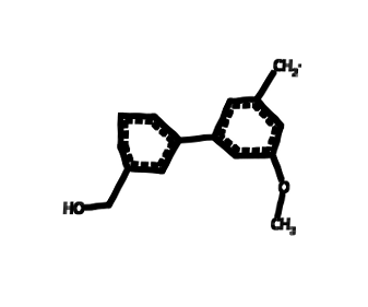 [CH2]c1cc(OC)cc(-c2cccc(CO)c2)c1